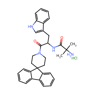 CC(C)(N)C(=O)NC(Cc1c[nH]c2ccccc12)C(=O)N1CCC2(CC1)c1ccccc1-c1ccccc12.Cl